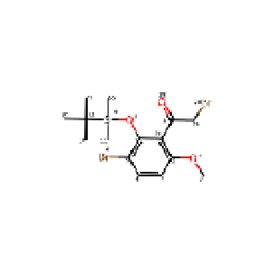 COc1ccc(Br)c(O[Si](C)(C)C(C)(C)C)c1C(=O)CBr